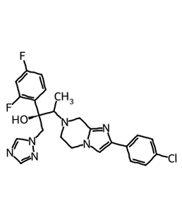 CC(N1CCn2cc(-c3ccc(Cl)cc3)nc2C1)[C@](O)(Cn1cncn1)c1ccc(F)cc1F